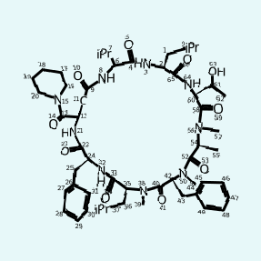 CC(C)C[C@@H]1NC(=O)C(C(C)C)NC(=O)CC(C(=O)N2CCCCC2)NC(=O)[C@H](Cc2ccccc2)NC(=O)[C@H](CC(C)C)N(C)C(=O)[C@H](Cc2ccccc2)N(C)C(=O)[C@H](C)N(C)C(=O)[C@H](C(C)O)NC1=O